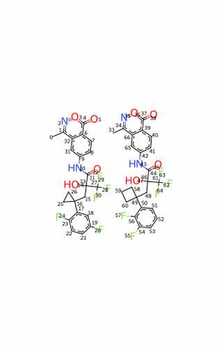 Cc1noc(=O)c2ccc(NC(=O)C(O)(CC3(c4cc(F)ccc4F)CC3)C(F)(F)F)cc12.Cc1noc(=O)c2ccc(NC(=O)C(O)(CC3(c4cccc(F)c4F)CCC3)C(F)(F)F)cc12